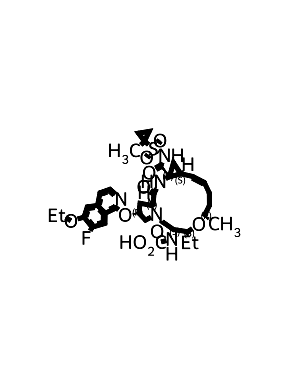 CCOc1cc2ccnc(O[C@@H]3C[C@H]4C(=O)N[C@]5(C(=O)NS(=O)(=O)C6(C)CC6)C[C@H]5C=CCC[C@@H](C)O[C@@H](CC)[C@H](NC(=O)O)C(=O)N4C3)c2cc1F